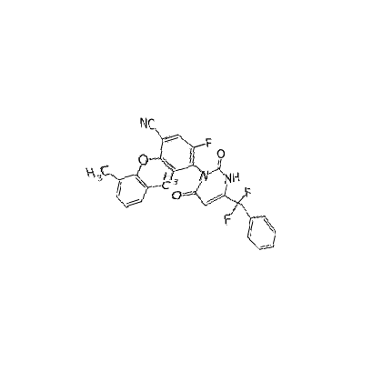 Cc1cccc(C)c1Oc1cc(-n2c(=O)cc(C(F)(F)c3ccccc3)[nH]c2=O)c(F)cc1C#N